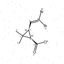 CC1(C)[C@H](C(=O)Cl)[C@@H]1C=C(Br)Br